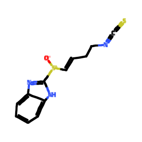 [O-][S+](/C=C/CCN=C=S)c1nc2ccccc2[nH]1